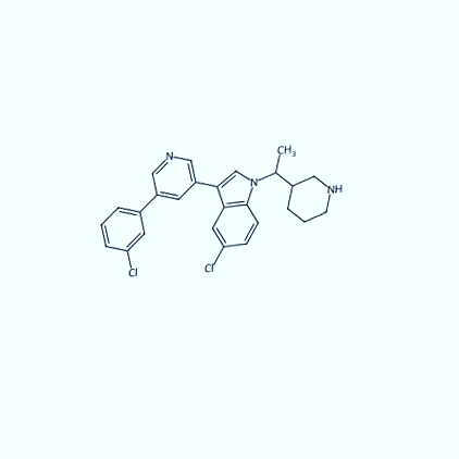 CC(C1CCCNC1)n1cc(-c2cncc(-c3cccc(Cl)c3)c2)c2cc(Cl)ccc21